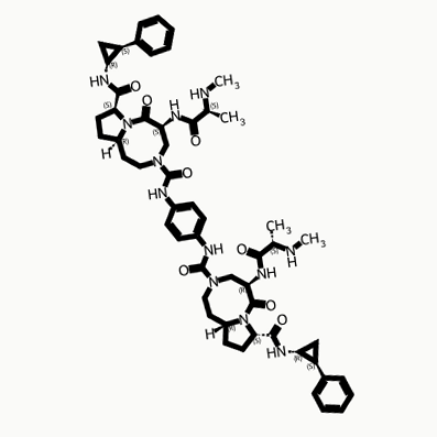 CN[C@@H](C)C(=O)N[C@H]1CN(C(=O)Nc2ccc(NC(=O)N3CC[C@H]4CC[C@@H](C(=O)N[C@@H]5C[C@H]5c5ccccc5)N4C(=O)[C@H](NC(=O)[C@H](C)NC)C3)cc2)CC[C@H]2CC[C@@H](C(=O)N[C@@H]3C[C@H]3c3ccccc3)N2C1=O